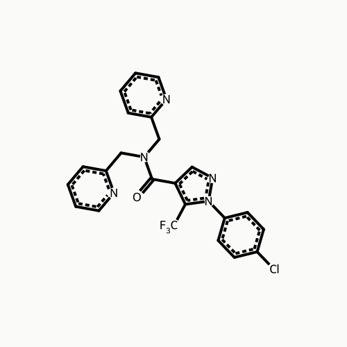 O=C(c1cnn(-c2ccc(Cl)cc2)c1C(F)(F)F)N(Cc1ccccn1)Cc1ccccn1